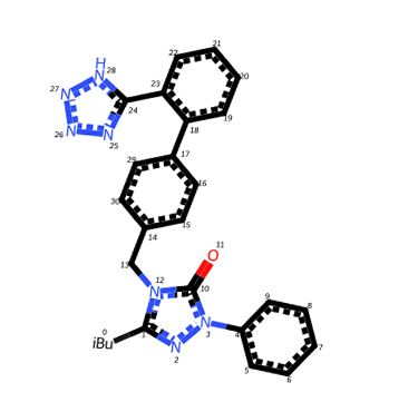 CCC(C)c1nn(-c2ccccc2)c(=O)n1Cc1ccc(-c2ccccc2-c2nnn[nH]2)cc1